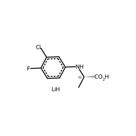 C[C@H](Nc1ccc(F)c(Cl)c1)C(=O)O.[LiH]